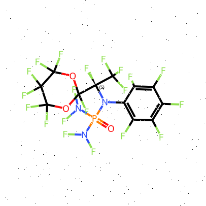 O=P(N(F)F)(N(F)F)N(c1c(F)c(F)c(F)c(F)c1F)[C@@](F)(C(F)(F)F)C1(F)OC(F)(F)C(F)(F)C(F)(F)O1